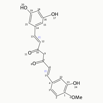 COc1ccc(/C=C/C(=O)CC(=O)/C=C/c2cc(O)cc(O)c2)cc1O